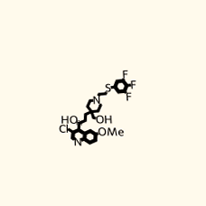 COc1ccc2ncc(Cl)c([C@H](O)CCC3(CO)CCN(CCSc4cc(F)c(F)c(F)c4)CC3)c2c1